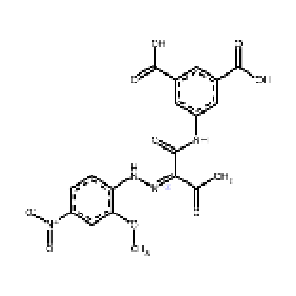 COc1cc([N+](=O)[O-])ccc1N/N=C(/C(C)=O)C(=O)Nc1cc(C(=O)O)cc(C(=O)O)c1